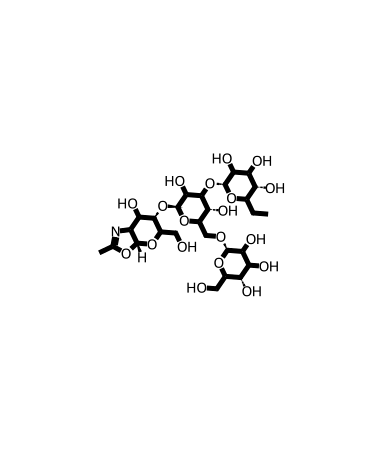 CCC1O[C@H](OC2C(O)[C@H](O[C@@H]3C(CO)O[C@@H]4OC(C)=NC4C3O)OC(CO[C@H]3OC(CO)[C@@H](O)C(O)C3O)[C@H]2O)C(O)C(O)[C@@H]1O